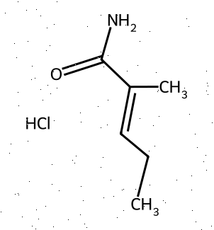 CC/C=C(\C)C(N)=O.Cl